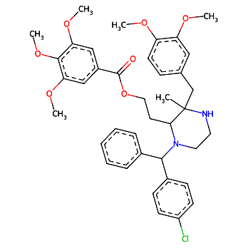 COc1ccc(CC2(C)NCCN(C(c3ccccc3)c3ccc(Cl)cc3)C2CCOC(=O)c2cc(OC)c(OC)c(OC)c2)cc1OC